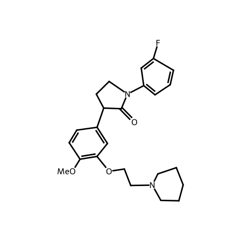 COc1ccc(C2CCN(c3cccc(F)c3)C2=O)cc1OCCN1CCCCC1